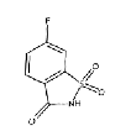 O=C1NS(=O)(=O)c2cc(F)ccc21